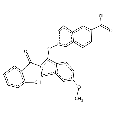 COc1ccc2c(Oc3ccc4cc(C(=O)O)ccc4c3)c(C(=O)c3ccccc3C)sc2c1